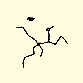 CCCC[N+](CC)(CCCC)C(CCC)OC.[OH-]